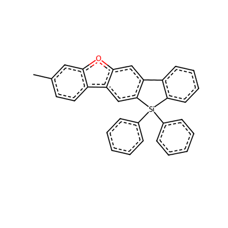 Cc1ccc2c(c1)oc1cc3c(cc12)[Si](c1ccccc1)(c1ccccc1)c1ccccc1-3